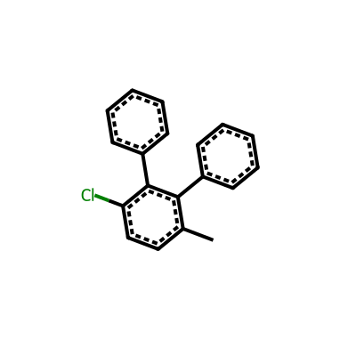 Cc1ccc(Cl)c(-c2ccccc2)c1-c1ccccc1